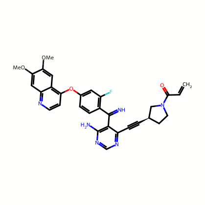 C=CC(=O)N1CC[C@@H](C#Cc2ncnc(N)c2C(=N)c2ccc(Oc3ccnc4cc(OC)c(OC)cc34)cc2F)C1